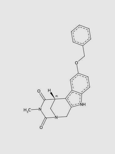 CN1C(=O)[C@H]2CN(Cc3[nH]c4ccc(OCc5ccccc5)cc4c32)C1=O